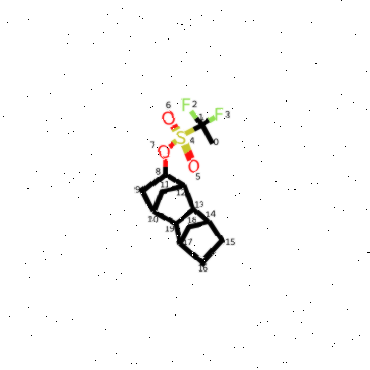 CC(F)(F)S(=O)(=O)OC1CC2CC1C1C3CCC(C3)C21